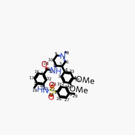 COc1ccc(C2CN(C)CCC2NC(=O)c2ccc(C)c(NS(=O)(=O)c3ccc(C)cc3)c2)cc1OC